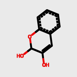 OC1=Cc2ccccc2OC1O